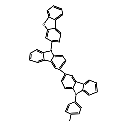 Cc1ccc(-n2c3ccccc3c3cc(-c4ccc5c(c4)c4ccccc4n5-c4ccc5c(c4)oc4ccccc45)ccc32)cc1